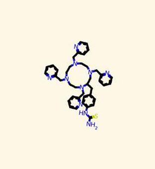 NC(=S)Nc1ccc(CC2CN(Cc3ccccn3)CCN(Cc3ccccn3)CCN(Cc3ccccn3)CCN2Cc2ccccn2)cc1